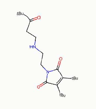 CC(C)(C)C(=O)CCNCCN1C(=O)C(C(C)(C)C)=C(C(C)(C)C)C1=O